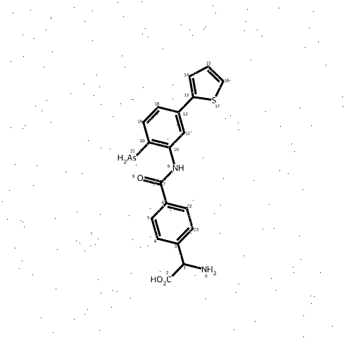 NC(C(=O)O)c1ccc(C(=O)Nc2cc(-c3cccs3)ccc2[AsH2])cc1